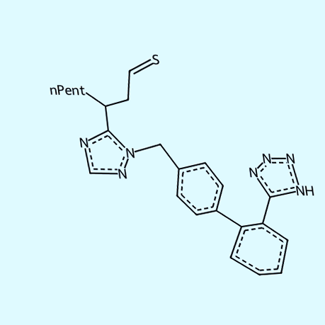 CCCCCC(CC=S)c1ncnn1Cc1ccc(-c2ccccc2-c2nnn[nH]2)cc1